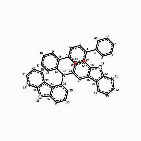 c1ccc(-c2ccc(-c3ccccc3N(c3ccc4oc5ncccc5c4c3)c3cccc4oc5ncccc5c34)cc2)cc1